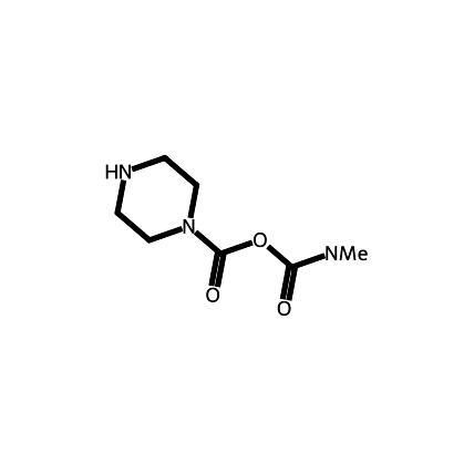 CNC(=O)OC(=O)N1CCNCC1